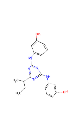 CCC(C)c1nc(Nc2cccc(O)c2)nc(Nc2cccc(O)c2)n1